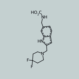 O=C(O)NCc1ccc2cc(CN3CCC(F)(F)CC3)[nH]c2c1